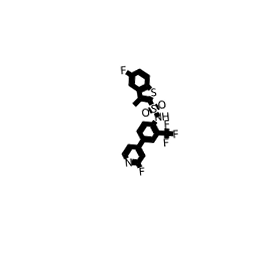 Cc1c(S(=O)(=O)Nc2ccc(-c3ccnc(F)c3)cc2C(F)(F)F)sc2ccc(F)cc12